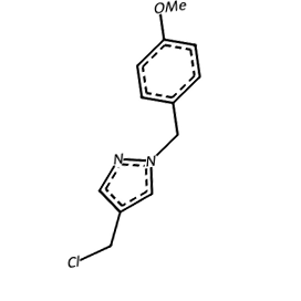 COc1ccc(Cn2cc(CCl)cn2)cc1